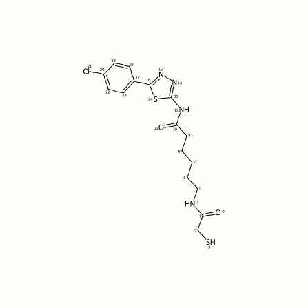 O=C(CS)NCCCCCC(=O)Nc1nnc(-c2ccc(Cl)cc2)s1